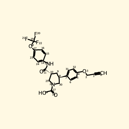 C#CCOc1ccc([C@@H]2C[C@@H](C(=O)Nc3ccc(OC(F)(F)F)cc3)CN(C(=O)O)C2)cc1